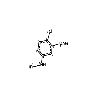 COc1cc(NC(C)C)ccc1Cl